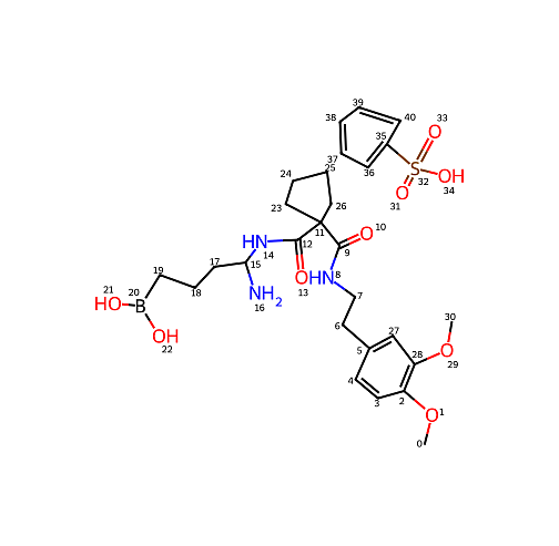 COc1ccc(CCNC(=O)C2(C(=O)NC(N)CCCB(O)O)CCCC2)cc1OC.O=S(=O)(O)c1ccccc1